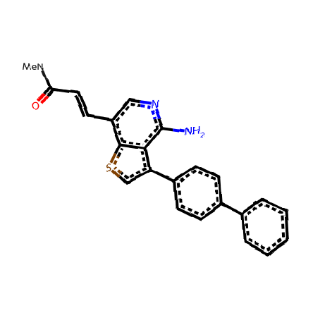 CNC(=O)C=Cc1cnc(N)c2c(-c3ccc(-c4ccccc4)cc3)csc12